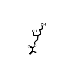 C=C(C)C(=O)OCCC(CO)CCCO